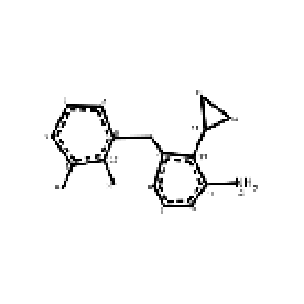 Cc1cccc(Cc2cccc(N)c2C2CC2)c1C